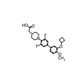 COc1ccc(-c2cc(F)c(N3CCC(CC(=O)O)CC3)c(F)c2)cc1OC1CCC1